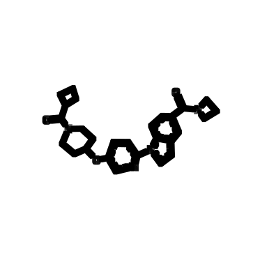 O=C(c1ccc2c(ccn2-c2ccc(OC3CCN(C(=O)C4CCC4)CC3)cn2)c1)N1CCC1